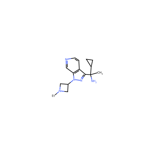 CCN1CC(n2nc(C(C)(N)C3CC3)c3ccncc32)C1